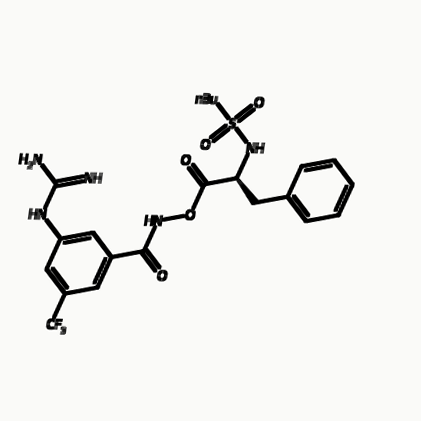 CCCCS(=O)(=O)N[C@@H](Cc1ccccc1)C(=O)ONC(=O)c1cc(NC(=N)N)cc(C(F)(F)F)c1